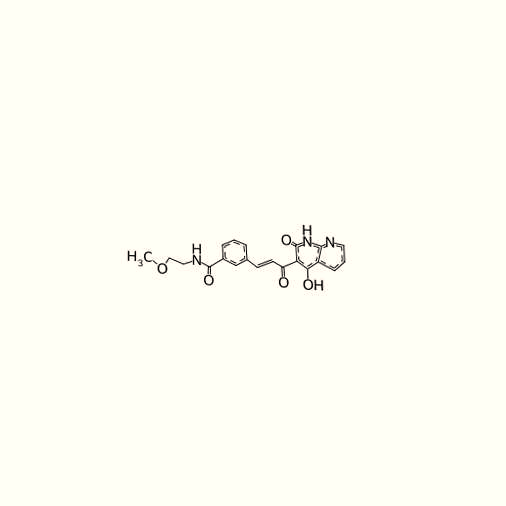 COCCNC(=O)c1cccc(C=CC(=O)c2c(O)c3cccnc3[nH]c2=O)c1